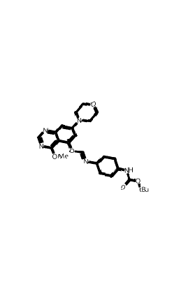 COc1ncnc2cc(N3CCOCC3)cc(O/C=N/C3CCC(NC(=O)OC(C)(C)C)CC3)c12